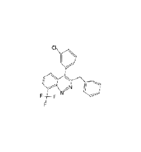 FC(F)(F)c1cccc2c(-c3cccc(Cl)c3)c(Cc3ccccc3)nnc12